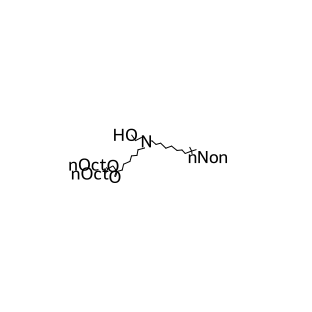 CCCCCCCCCC(C)(C)CCCCCCCCN(CCO)CCCCCCCC(=O)OC(CCCCCCCC)CCCCCCCC